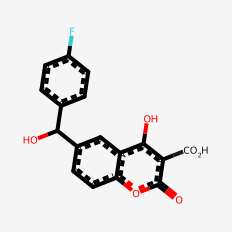 O=C(O)c1c(O)c2cc(C(O)c3ccc(F)cc3)ccc2oc1=O